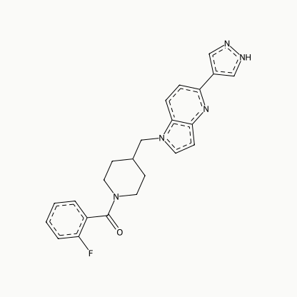 O=C(c1ccccc1F)N1CCC(Cn2ccc3nc(-c4cn[nH]c4)ccc32)CC1